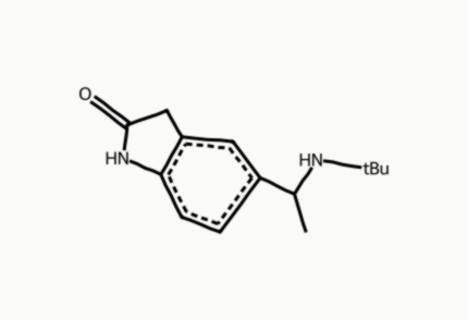 CC(NC(C)(C)C)c1ccc2c(c1)CC(=O)N2